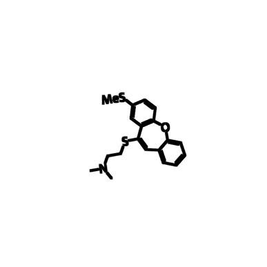 CSc1ccc2c(c1)C(SCCN(C)C)=Cc1ccccc1O2